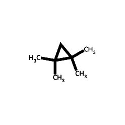 CC1(C)[CH]C1(C)C